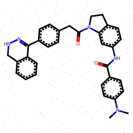 CN(C)c1ccc(C(=O)Nc2ccc3c(c2)N(C(=O)Cc2ccc(C4=NNCc5ccccc54)cc2)CC3)cc1